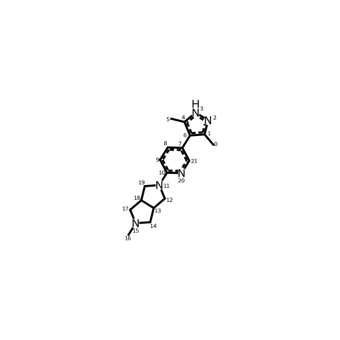 Cc1n[nH]c(C)c1-c1ccc(N2CC3CN(C)CC3C2)nc1